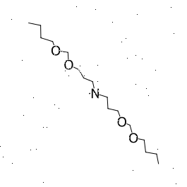 CCCCOCOCCC[N]CCCOCOCCCC